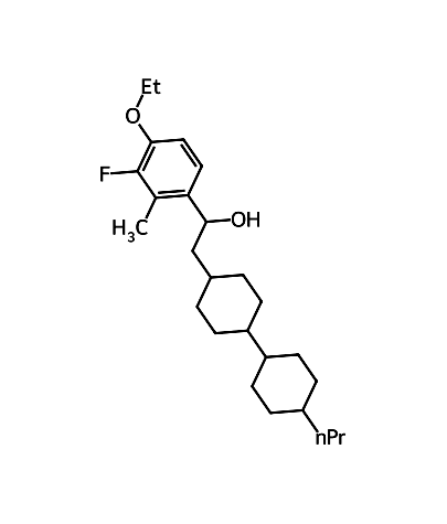 CCCC1CCC(C2CCC(CC(O)c3ccc(OCC)c(F)c3C)CC2)CC1